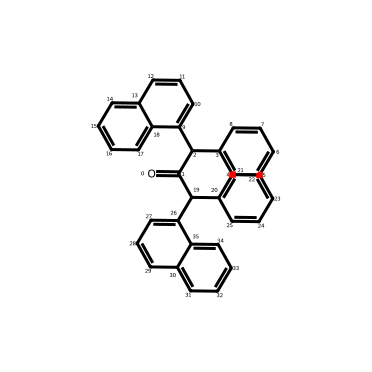 O=C(C(c1ccccc1)c1cccc2ccccc12)C(c1ccccc1)c1cccc2ccccc12